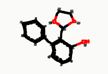 Oc1cccc(-c2ccccc2)c1C1OCCO1